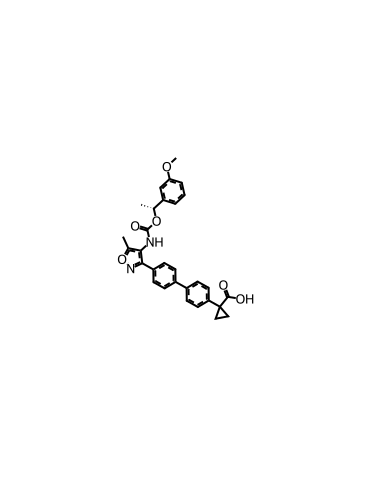 COc1cccc([C@@H](C)OC(=O)Nc2c(-c3ccc(-c4ccc(C5(C(=O)O)CC5)cc4)cc3)noc2C)c1